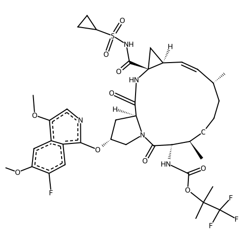 COc1cc2c(OC)cnc(O[C@@H]3C[C@H]4C(=O)N[C@]5(C(=O)NS(=O)(=O)C6CC6)C[C@H]5/C=C\[C@H](C)CCC[C@@H](C)[C@H](NC(=O)OC(C)(C)C(F)(F)F)C(=O)N4C3)c2cc1F